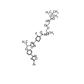 CCC(Oc1ccc(-c2noc(C3CC3)n2)cc1)c1nc(-c2ccc(C(=O)N[C@H](C)COC(=O)CNC(=O)OC(C)(C)C)c(F)c2)no1